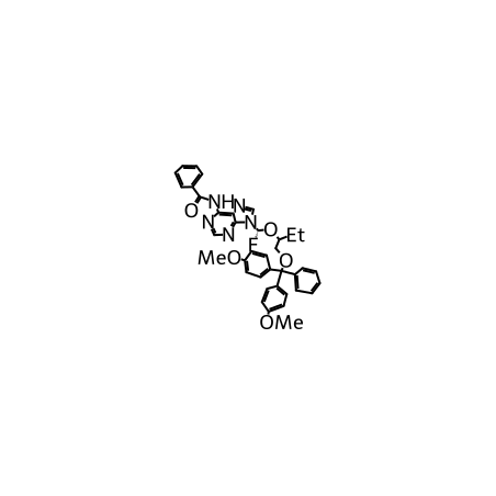 CCC(COC(c1ccccc1)(c1ccc(OC)cc1)c1ccc(OC)cc1)O[C@H](F)n1cnc2c(NC(=O)c3ccccc3)ncnc21